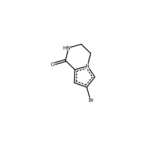 O=C1NCCn2cc(Br)cc21